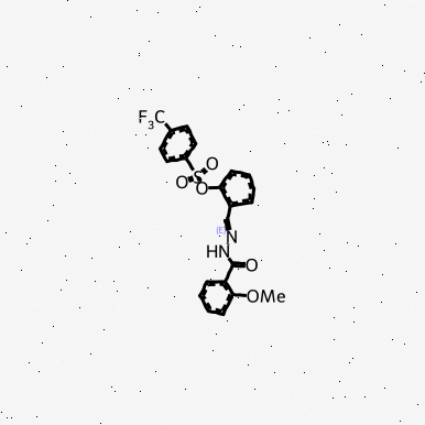 COc1ccccc1C(=O)N/N=C/c1ccccc1OS(=O)(=O)c1ccc(C(F)(F)F)cc1